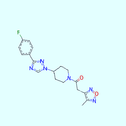 Cc1nonc1CC(=O)N1CCC(n2cnc(-c3ccc(F)cc3)n2)CC1